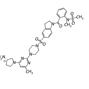 Cc1cc(N2CC[C@H](N)C2)nc(N2CCN(S(=O)(=O)c3ccc4c(c3)CCN4C(=O)c3ccccc3N(C)S(C)(=O)=O)CC2)n1